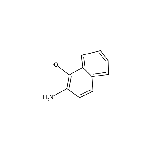 Nc1ccc2ccccc2c1[O]